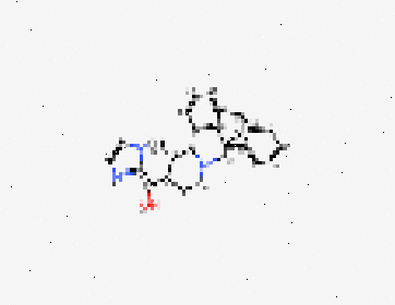 Cn1ccnc1[C@H](O)C1CCN(CC23CC(c4ccccc42)c2ccccc23)CC1